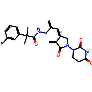 C=C(/C=C1/CN(C2CCC(=O)NC2=O)C(=O)C1=C)CNC(=O)C(F)(F)c1cccc(F)c1